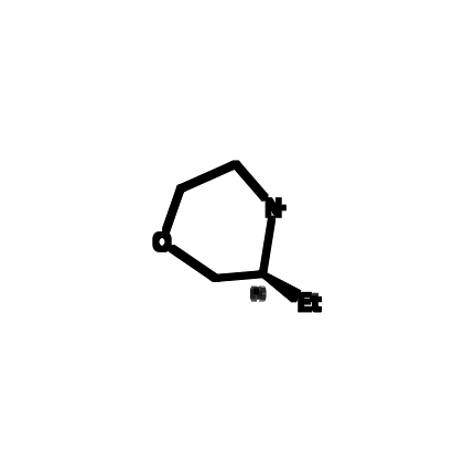 CC[C@H]1COCC[N]1